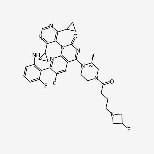 C[C@H]1CN(C(=O)CCCN2CC(F)C2)CCN1c1nc(=O)n(-c2c(C3CC3)ncnc2C2CC2)c2nc(-c3c(N)cccc3F)c(Cl)cc12